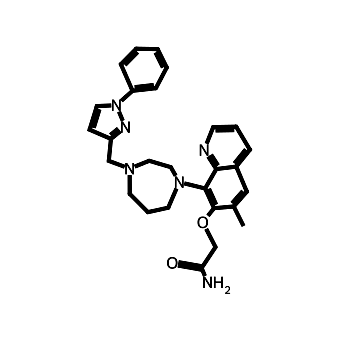 Cc1cc2cccnc2c(N2CCCN(Cc3ccn(-c4ccccc4)n3)CC2)c1OCC(N)=O